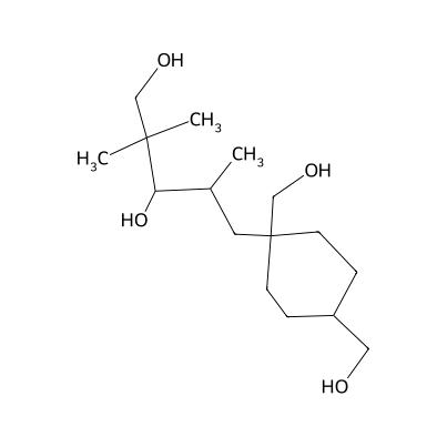 CC(CC1(CO)CCC(CO)CC1)C(O)C(C)(C)CO